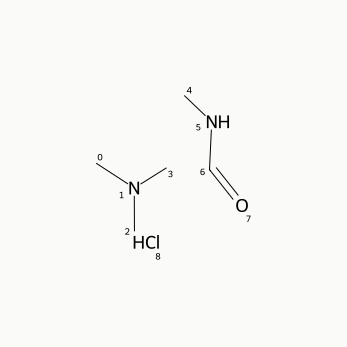 CN(C)C.CNC=O.Cl